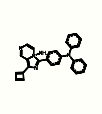 N[N+]12C=CN=CC1=C(C1=CC=C1)N=C2c1ccc(N(c2ccccc2)c2ccccc2)cc1